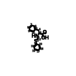 O=C(O)[C@H](Cc1ccccc1)NCSc1ccccc1